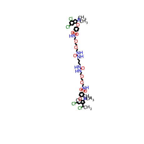 C=C(Cl)C1=C(/C=C(\C)Cl)[C@H](Oc2ccc(S(=O)(=O)NCCOCCOCCNC(=O)NCCCCNC(=O)NCCOCCOCCNS(=O)(=O)c3ccc(O[C@H]4c5cc(Cl)cc(Cl)c5C[C@@H]4N(C)C)cc3)cc2)[C@@H](N(C)C)C1